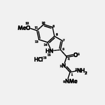 CNC(N)=NC(=O)c1cc2ccc(OC)cc2[nH]1.Cl